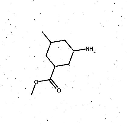 COC(=O)C1CC(C)CC(N)C1